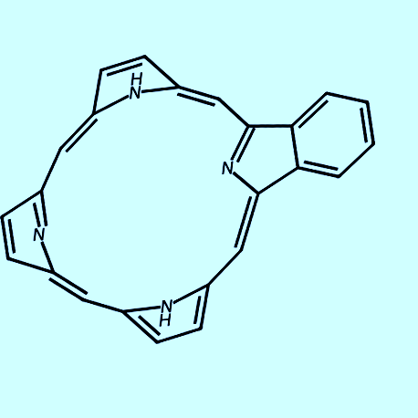 C1=Cc2cc3ccc(cc4nc(cc5ccc(cc1n2)[nH]5)-c1ccccc1-4)[nH]3